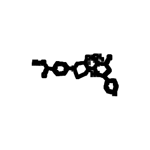 COC(=O)c1ccc(N2CCN(C3NC(c4ccncc4)=CC(=O)N3C)[C@H](C)C2)cc1